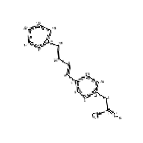 O=C(Cl)Cc1ccc(C=CCCc2ccccc2)cc1